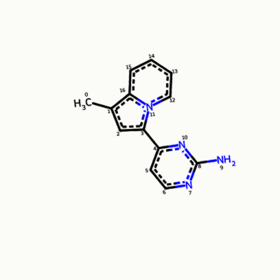 Cc1cc(-c2ccnc(N)n2)n2ccccc12